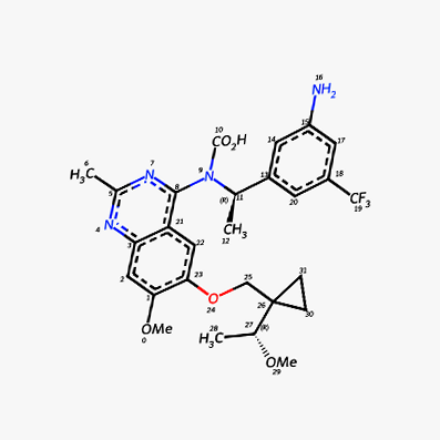 COc1cc2nc(C)nc(N(C(=O)O)[C@H](C)c3cc(N)cc(C(F)(F)F)c3)c2cc1OCC1([C@@H](C)OC)CC1